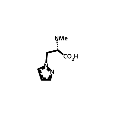 CN[C@@H](Cn1cccn1)C(=O)O